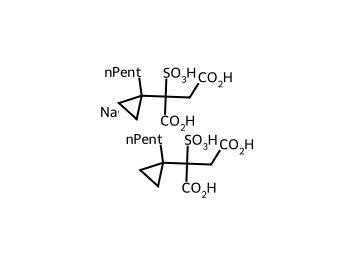 CCCCCC1(C(CC(=O)O)(C(=O)O)S(=O)(=O)O)CC1.CCCCCC1(C(CC(=O)O)(C(=O)O)S(=O)(=O)O)CC1.[Na]